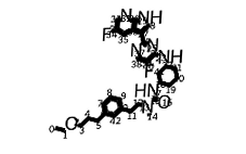 CCOCCCc1cccc(CCN(C)C(=O)N[C@H]2CCC[C@@H](Nc3nc(-c4c[nH]c5ncc(F)cc45)ncc3F)C2)c1